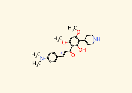 COc1cc(OC)c(C2=CCNCC2)c(O)c1C(=O)/C=C/c1ccc(N(C)C)cc1